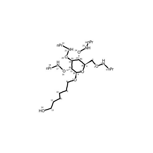 CCCNOC[C@H]1O[C@@H](OCCCCCCO)[C@H](ONCCC)[C@@H](ONCCC)[C@@H]1ONCCC